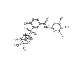 C[C@@H]1C2CC(S(=O)(=O)c3cc(C(=O)Nc4cc(F)c(F)c(F)c4)ccc3Cl)C[C@H]1[C@]2(C)O